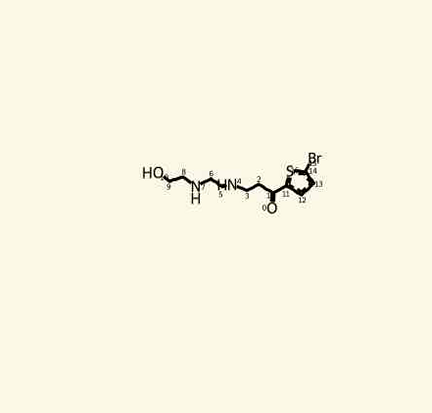 O=C(CCNCCNCCO)c1ccc(Br)s1